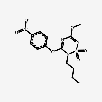 CCCCN1C(Oc2ccc([N+](=O)[O-])cc2)=NC(OC)=NS1(=O)=O